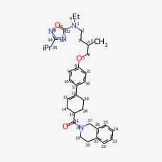 CCN(CCC(C)COc1ccc(C2=CCC(C(=O)N3CCc4ccccc4C3)CC2)cc1)c1nc(C(C)C)no1